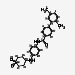 Cc1ccc(C)c(-c2ccc(C(=O)Nc3ccc(NC4CCS(=O)(=O)CC4)cc3)cc2)c1